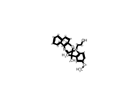 COc1ccc2c(c1)C(C)(C)C1(C=Nc3c(ccc4ccccc34)O1)N2CCO